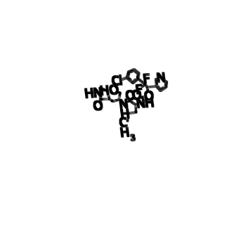 CCCC[C@H](NC(=O)O[C@H](c1cccnc1)C(F)(F)c1cccc(Cl)c1)C(=O)N[C@H](CO)C[C@@H]1CCNC1=O